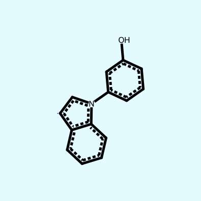 Oc1cccc(-n2c[c]c3ccccc32)c1